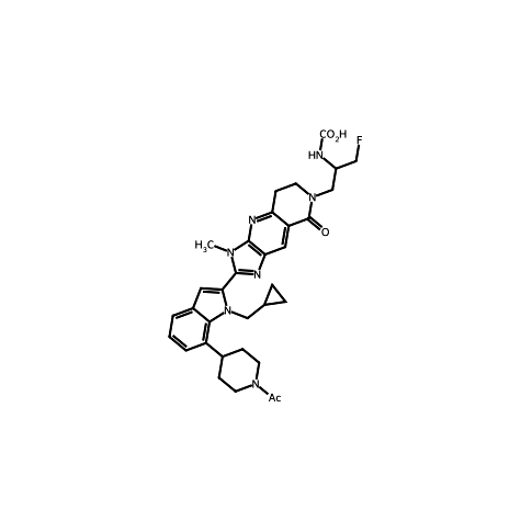 CC(=O)N1CCC(c2cccc3cc(-c4nc5cc6c(nc5n4C)CCN(CC(CF)NC(=O)O)C6=O)n(CC4CC4)c23)CC1